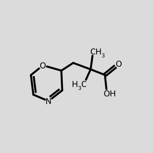 CC(C)(CC1C=NC=CO1)C(=O)O